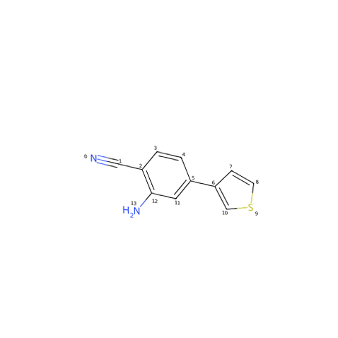 N#Cc1ccc(-c2ccsc2)cc1N